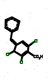 O=C(O)C1=C(Cl)C(Cl)C(=Cc2ccccc2)C=C1Cl